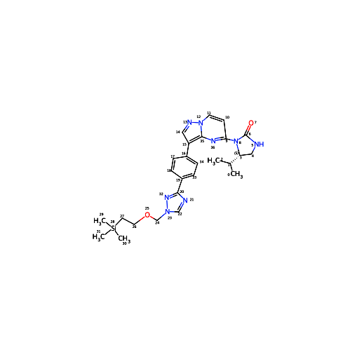 CC(C)[C@H]1CNC(=O)N1c1ccn2ncc(-c3ccc(-c4ncn(COCC[Si](C)(C)C)n4)cc3)c2n1